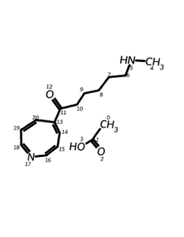 CC(=O)O.CNCCCCCC(=O)C1=CC=CN=CC=C1